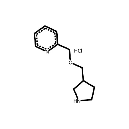 Cl.c1ccc(COCC2CCNC2)nc1